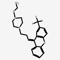 CCON1CCN(CCC=C2c3ccccc3Sc3ccc(C(F)(F)F)cc32)CC1